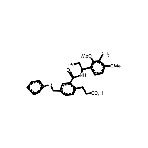 COc1ccc(C(CC(C)C)NC(=O)c2cc(COc3ccccc3)ccc2CCC(=O)O)c(OC)c1C